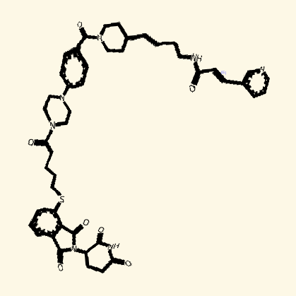 O=C(/C=C/c1cccnc1)NCCCCC1CCN(C(=O)c2ccc(N3CCN(C(=O)CCCCSc4cccc5c4C(=O)N(C4CCC(=O)NC4=O)C5=O)CC3)cc2)CC1